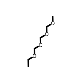 CCOCOCOCOC